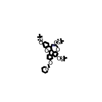 CC(C)(C)[Si](C)(C)O/C1=C/C2=C(c3ccc(O[Si](C)(C)C(C)(C)C)cc3OC1)C(c1ccc(OCCN3CCCCC3)cc1)Oc1cc(O[Si](C)(C)C(C)(C)C)ccc12